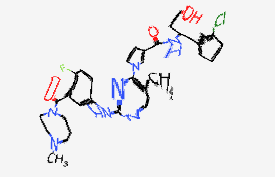 Cc1cnc(Nc2ccc(F)c(C(=O)N3CCN(C)CC3)c2)nc1-n1ccc(C(=O)NC(CO)c2cccc(Cl)c2)c1